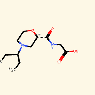 CCC(CC)N1CCO[C@H](C(=O)NCC(=O)O)C1